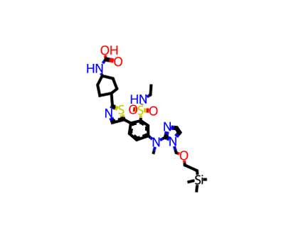 CCNS(=O)(=O)c1cc(N(C)c2nccn2COCC[Si](C)(C)C)ccc1-c1cnc(C2CCC(NC(=O)O)CC2)s1